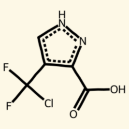 O=C(O)c1n[nH]cc1C(F)(F)Cl